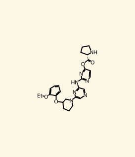 CCOc1ccccc1OC1CCCN(c2cncc(Nc3nccc(OC(=O)[C@@H]4CCCN4)n3)n2)C1